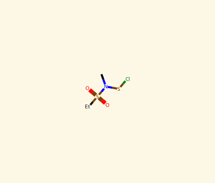 CCS(=O)(=O)N(C)SCl